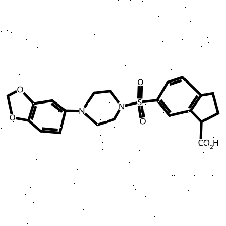 O=C(O)C1CCc2ccc(S(=O)(=O)N3CCN(c4ccc5c(c4)OCO5)CC3)cc21